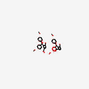 CC(=O)Oc1ccc2c(c1)Oc1cc(OC(C)=O)ccc1C21OC(=O)c2ccc(C(=O)O)cc21.CC(=O)Oc1ccc2c(c1)Oc1cc(OC(C)=O)ccc1C21OC(=O)c2cccc(C(=O)O)c21